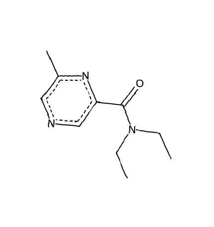 CCN(CC)C(=O)c1cncc(C)n1